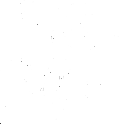 O=C(Nc1ccc2ncnc(Nc3ccccc3)c2c1)c1ccccc1